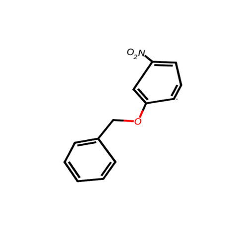 O=[N+]([O-])c1cc[c]c(OCc2ccccc2)c1